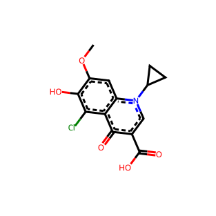 COc1cc2c(c(Cl)c1O)c(=O)c(C(=O)O)cn2C1CC1